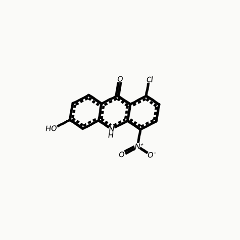 O=c1c2ccc(O)cc2[nH]c2c([N+](=O)[O-])ccc(Cl)c12